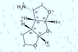 N[C@@H]1CO[C@@H]2O[C@@H]3OCC[C@@H]3[C@@H]21